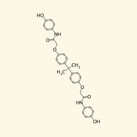 CC(C)(c1ccc(OCC(=O)Nc2ccc(O)cc2)cc1)c1ccc(OCC(=O)Nc2ccc(O)cc2)cc1